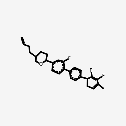 C=CCCC1CCC(c2ccc(-c3ccc(C4CC=C(C)C(F)=C4F)cc3)c(F)c2)OC1